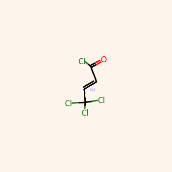 O=C(Cl)/C=C/C(Cl)(Cl)Cl